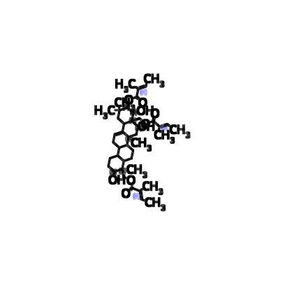 C/C=C(\C)C(=O)OC[C@@]12C(CC(C)(C)[C@@H](OC(=O)/C(C)=C/C)[C@@H]1O)C1=CCC3C4CC[C@H](O)[C@](C)(COC(=O)/C(C)=C/C)C4CCC3[C@]1(C)C[C@H]2O